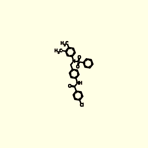 Cc1ccc(N(Cc2ccc(NC(=O)c3ccc(Cl)cc3)cc2)S(=O)(=O)c2ccccc2)cc1C